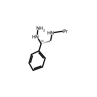 CC(C)NC[C@@H](NN)c1ccccc1